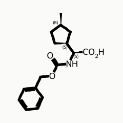 C[C@@H]1CC[C@H]([C@H](NC(=O)OCc2ccccc2)C(=O)O)C1